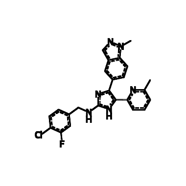 Cc1cccc(-c2[nH]c(NCc3ccc(Cl)c(F)c3)nc2-c2ccc3c(cnn3C)c2)n1